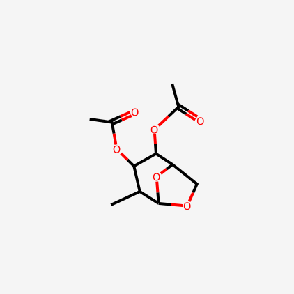 CC(=O)OC1C2COC(O2)C(C)C1OC(C)=O